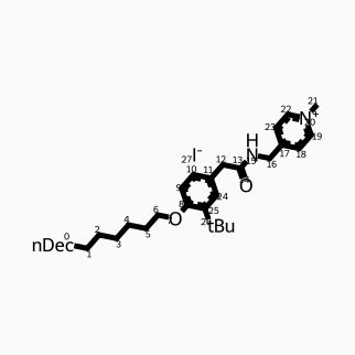 CCCCCCCCCCCCCCCCOc1ccc(CC(=O)NCc2cc[n+](C)cc2)cc1C(C)(C)C.[I-]